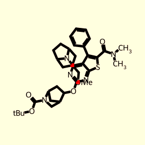 COCC1CC2CCC(C1)N2c1nc(OC2CC3CC2CN3C(=O)OC(C)(C)C)nc2sc(C(=O)N(C)C)c(-c3ccccc3)c12